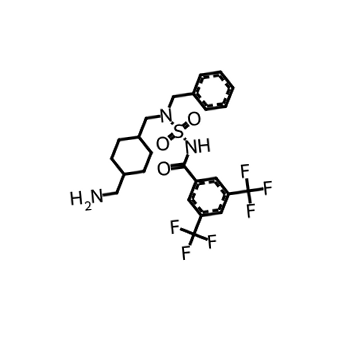 NCC1CCC(CN(Cc2ccccc2)S(=O)(=O)NC(=O)c2cc(C(F)(F)F)cc(C(F)(F)F)c2)CC1